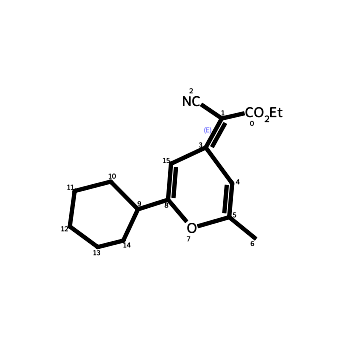 CCOC(=O)/C(C#N)=C1\C=C(C)OC(C2CCCCC2)=C1